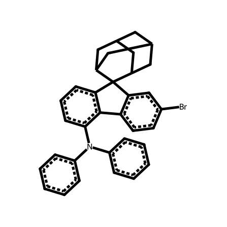 Brc1ccc2c(c1)C1(c3cccc(N(c4ccccc4)c4ccccc4)c3-2)C2CC3CC(C2)CC1C3